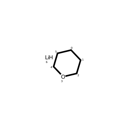 C1CCOCC1.[LiH]